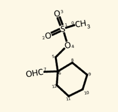 CS(=O)(=O)OCC1(C=O)CCCCC1